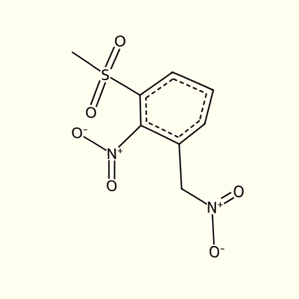 CS(=O)(=O)c1cccc(C[N+](=O)[O-])c1[N+](=O)[O-]